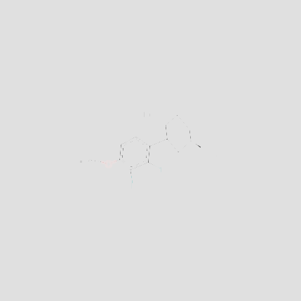 CCCCCCOc1ccc(C2C[C@H](C(=O)O)CC[C@H]2CC)c(F)c1F